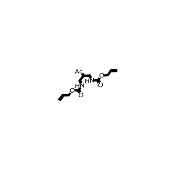 C=CCOC(=O)NCC(CNC(=O)OCC=C)C(C)=O